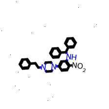 O=[N+]([O-])c1ccc(N2CCN(CCc3ccccc3)CC2)cc1NC(c1ccccc1)c1ccccc1